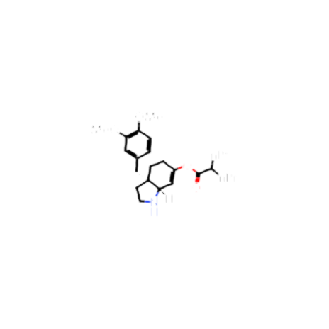 CCCC(CCC)C(=O)OC1=C[C@@H]2NCC[C@@]2(Cc2ccc(OC)c(OC)c2)CC1